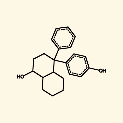 Oc1ccc(C2(c3ccccc3)CCC(O)C3CCCCC32)cc1